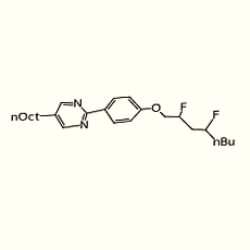 CCCCCCCCc1cnc(-c2ccc(OCC(F)CC(F)CCCC)cc2)nc1